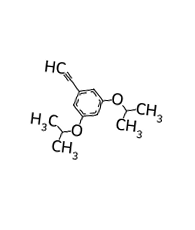 C#Cc1cc(OC(C)C)cc(OC(C)C)c1